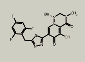 CC[C@@H](C)N1CN(C)C(=O)c2c(O)c(=O)c(-c3nnc(Cc4c(F)cc(F)cc4F)s3)cn21